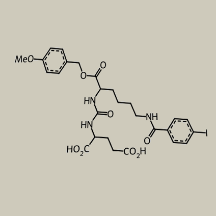 COc1ccc(COC(=O)C(CCCCNC(=O)c2ccc(I)cc2)NC(=O)NC(CCC(=O)O)C(=O)O)cc1